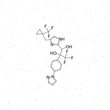 OC(c1nc(CC2(C(F)(F)F)CC2)c[nH]1)C(O)(c1ccc(-n2cccn2)cc1)C(F)(F)F